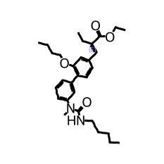 CCCCCNC(=O)N(C)c1cccc(-c2ccc(/C=C(\CC)C(=O)OCC)cc2OCCCC)c1